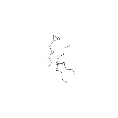 CCCO[Si](OCCC)(OCCC)C(C)C(C)OCC1CO1